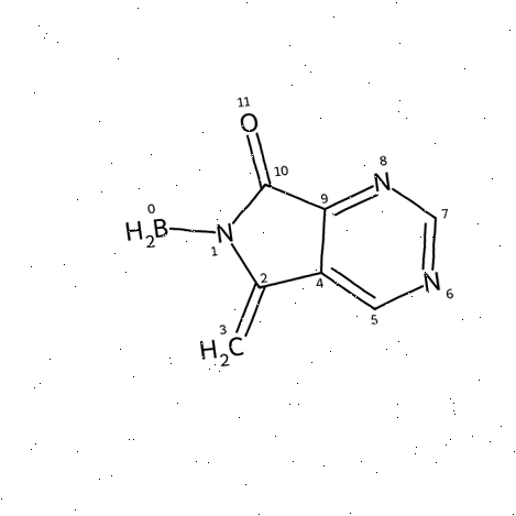 BN1C(=C)c2cncnc2C1=O